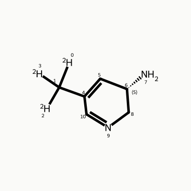 [2H]C([2H])([2H])C1=C[C@H](N)CN=C1